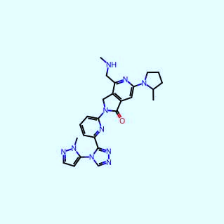 CNCc1nc(N2CCCC2C)cc2c1CN(c1cccc(-c3nncn3-c3ccnn3C)n1)C2=O